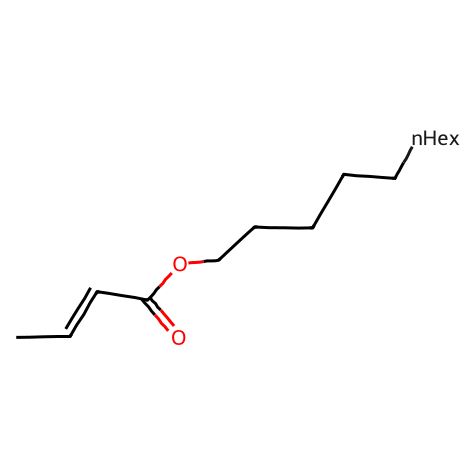 CC=CC(=O)OCCCCCCCCCCC